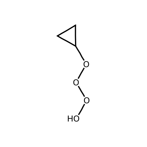 OOOOC1CC1